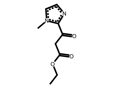 CCOC(=O)CC(=O)c1nccn1C